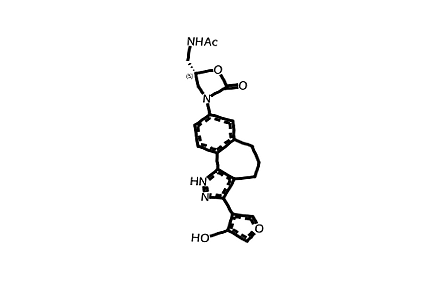 CC(=O)NC[C@H]1CN(c2ccc3c(c2)CCCc2c(-c4cocc4O)n[nH]c2-3)C(=O)O1